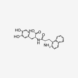 N[C@@H](Cc1cccc2ccccc12)C(=O)N[C@@H](Cc1ccc(O)c(O)c1)C(=O)O